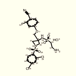 Cl.N#Cc1ccc(OCC2(NS(=O)(=O)CCN)CN(S(=O)(=O)c3ccc(Cl)cc3Cl)C2)cc1F